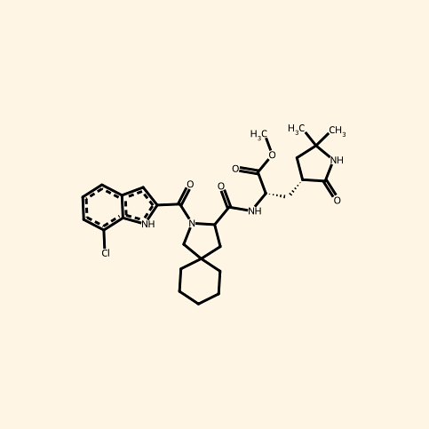 COC(=O)[C@H](C[C@@H]1CC(C)(C)NC1=O)NC(=O)C1CC2(CCCCC2)CN1C(=O)c1cc2cccc(Cl)c2[nH]1